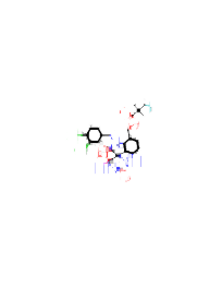 CC(C)(CF)C(=O)OCc1cccc2c1N(Cc1ccc(Cl)c(Cl)c1)C(=O)C21NC(=O)NC1=O